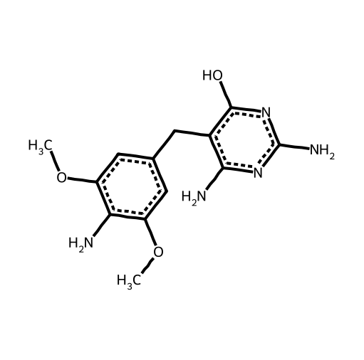 COc1cc(Cc2c(N)nc(N)nc2O)cc(OC)c1N